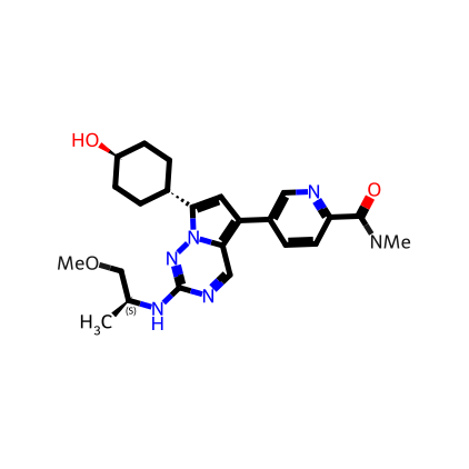 CNC(=O)c1ccc(-c2cc([C@H]3CC[C@H](O)CC3)n3nc(N[C@@H](C)COC)ncc23)cn1